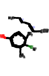 C/C=C/C=C/C(=O)[O-].Cc1cc(O)cc(C)c1Cl.[K+]